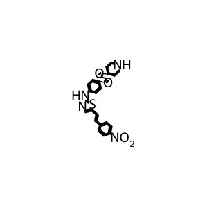 O=[N+]([O-])c1ccc(C=Cc2cnc(Nc3ccc(S(=O)(=O)C4CCNCC4)cc3)s2)cc1